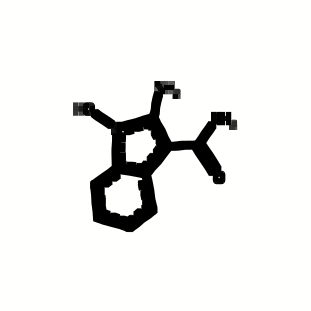 NC(=O)c1c(N)n(O)c2ccccc12